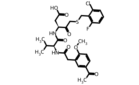 COc1ccc(C(C)=O)cc1CC(=O)N[C@H](C(=O)N[C@@H](CC(=O)O)C(=O)CSCc1c(F)cccc1Cl)C(C)C